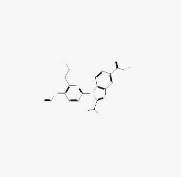 CCCc1nc(-n2c(C(C)C)nc3cc(C(=O)OC)ccc32)ccc1NC=O